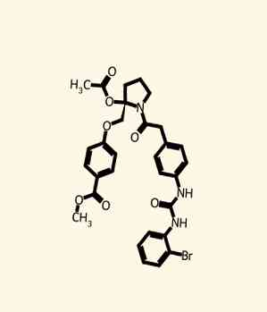 COC(=O)c1ccc(OC[C@@]2(OC(C)=O)CCCN2C(=O)Cc2ccc(NC(=O)Nc3ccccc3Br)cc2)cc1